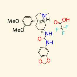 COc1ccc([C@@]23CC[C@@H](NC(=O)Nc4ccc5c(c4)OCO5)C[C@@H]2N(C)CC3)cc1OC.O=C(O)C(F)(F)F